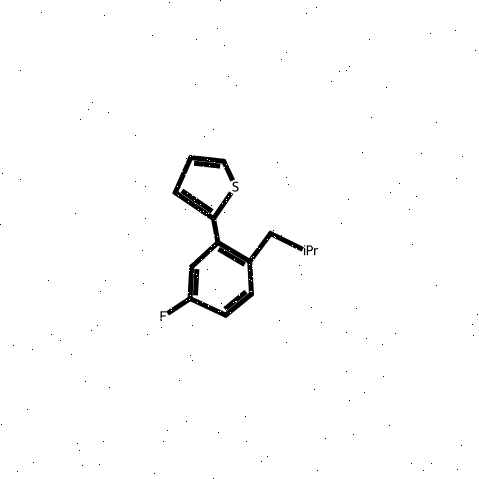 CC(C)Cc1ccc(F)cc1-c1cccs1